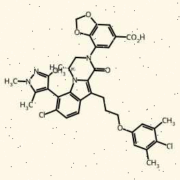 Cc1cc(OCCCc2c3n(c4c(-c5c(C)nn(C)c5C)c(Cl)ccc24)[C@H](C)CN(c2cc(C(=O)O)cc4c2OCO4)C3=O)cc(C)c1Cl